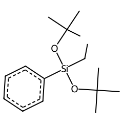 CC[Si](OC(C)(C)C)(OC(C)(C)C)c1ccccc1